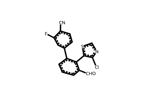 N#Cc1ccc(-c2cccc(C=O)c2-c2scnc2Cl)cc1F